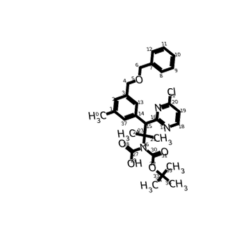 Cc1cc(COCc2ccccc2)cc(C(c2nccc(Cl)n2)C(C)(C)N(C(=O)O)C(=O)OC(C)(C)C)c1